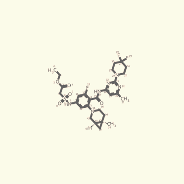 CCOC(=O)CS(=O)(=O)Nc1cc(F)c(C(=O)Nc2cc(C)nc(N3CCC(F)(F)CC3)n2)c(N2CC[C@@]3(C)C[C@H]3C2)c1